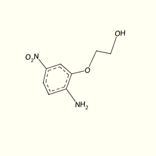 Nc1ccc([N+](=O)[O-])cc1OCCO